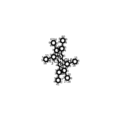 Cc1c2[n+](c(C)c3[n+]1[B-](c1ccc(-c4ccccc4)cc1)(c1ccc(-c4ccccc4)cc1)C(c1ccc(-c4ccccc4)cc1)=C3)[B-](c1ccc(-c3ccccc3)cc1)(c1ccc(-c3ccccc3)cc1)C(c1ccc(-c3ccccc3)cc1)=C2